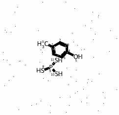 Cc1ccc(O)cc1.SP(S)S